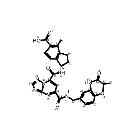 Cc1c(C(=O)O)ccc2c1CC[C@@H]2NC(=O)c1cc(C(=O)NCc2ccc3c(c2)NC(=O)C(C)O3)nc2ncnn12